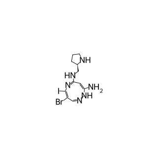 Nc1cc(NC[C@H]2CCCN2)nc(I)c(Br)cn[nH]1